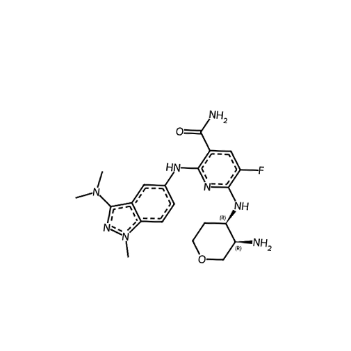 CN(C)c1nn(C)c2ccc(Nc3nc(N[C@@H]4CCOC[C@@H]4N)c(F)cc3C(N)=O)cc12